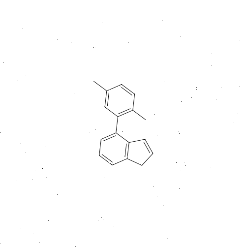 Cc1ccc(C)c(-c2cccc3c2C=CC3)c1